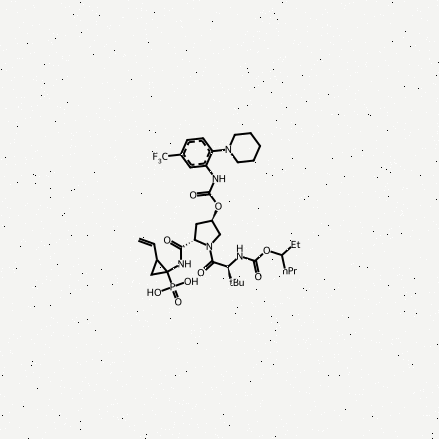 C=CC1CC1(NC(=O)[C@@H]1C[C@@H](OC(=O)Nc2cc(C(F)(F)F)ccc2N2CCCCC2)CN1C(=O)[C@@H](NC(=O)OC(CC)CCC)C(C)(C)C)P(=O)(O)O